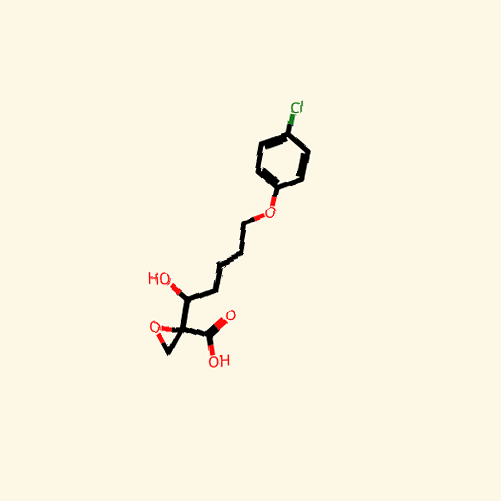 O=C(O)C1(C(O)CCCCOc2ccc(Cl)cc2)CO1